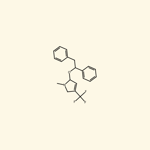 CN1CC(C(F)(F)F)=CC1OC(Cc1ccccc1)c1ccccc1